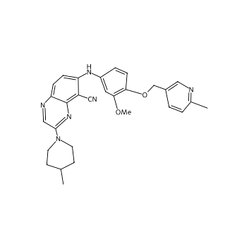 COc1cc(Nc2ccc3ncc(N4CCC(C)CC4)nc3c2C#N)ccc1OCc1ccc(C)nc1